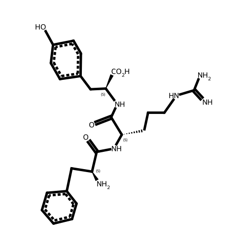 N=C(N)NCCC[C@H](NC(=O)[C@@H](N)Cc1ccccc1)C(=O)N[C@@H](Cc1ccc(O)cc1)C(=O)O